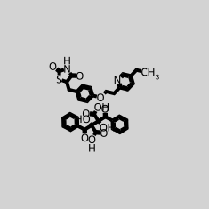 CCc1ccc(CCOc2ccc(CC3SC(=O)NC3=O)cc2)nc1.O=C(O)C(O)(C(=O)c1ccccc1)C(O)(C(=O)O)C(=O)c1ccccc1